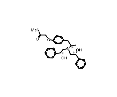 CNC(=O)COc1ccc(C[C@@H](C)N(C[C@H](O)c2ccccc2)C[C@H](O)c2ccccc2)cc1